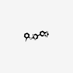 Fc1ccccc1Oc1ncc(-c2ccc3ncnn3c2)cn1